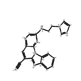 N#Cc1cc2ncc(NCCn3ccnc3)nc2n2c1nc1ccccc12